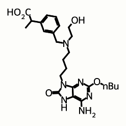 CCCCOc1nc(N)c2[nH]c(=O)n(CCCCN(CCO)Cc3cccc(C(C)C(=O)O)c3)c2n1